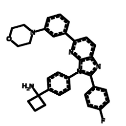 NC1(c2ccc(-n3c(-c4ccc(F)cc4)nc4ccc(-c5cccc(N6CCOCC6)c5)nc43)cc2)CCC1